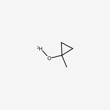 [2H]OC1(C)CC1